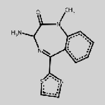 CN1C(=O)C(N)N=C(c2nccs2)c2ccccc21